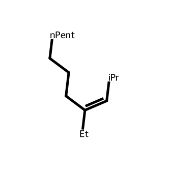 [CH2]CC(=CC(C)C)CCCCCCCC